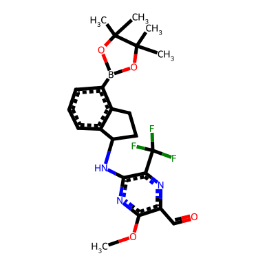 COc1nc(NC2CCc3c(B4OC(C)(C)C(C)(C)O4)cccc32)c(C(F)(F)F)nc1C=O